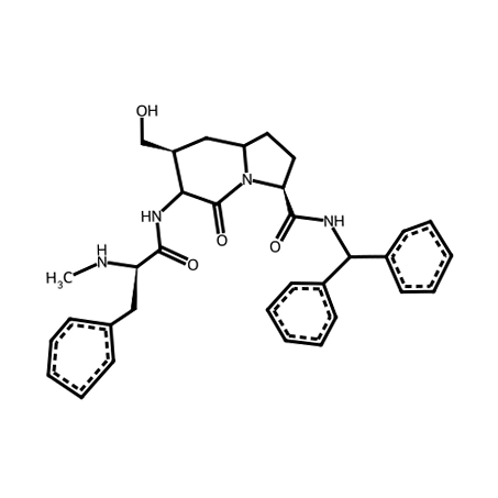 CN[C@H](Cc1ccccc1)C(=O)NC1C(=O)N2C(CC[C@H]2C(=O)NC(c2ccccc2)c2ccccc2)C[C@@H]1CO